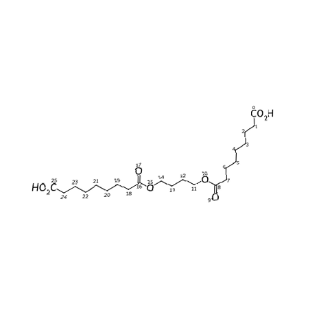 O=C(O)CCCCCCCC(=O)OCCCCOC(=O)CCCCCCCC(=O)O